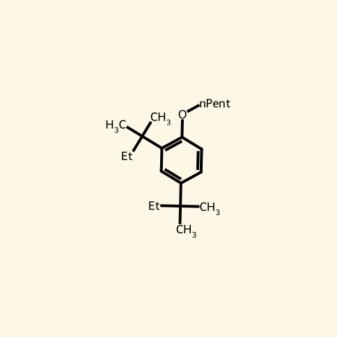 CCCCCOc1ccc(C(C)(C)CC)cc1C(C)(C)CC